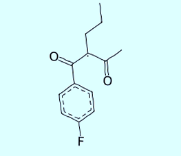 CCC[C](C(C)=O)C(=O)c1ccc(F)cc1